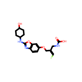 O=C(O)NC/C(=C/F)COc1ccc2nc(NC3CCC(O)CC3)oc2c1